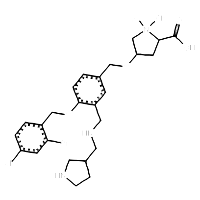 C[N+]1(C)CC(OCc2ccc(OCc3ccc(Cl)cc3Br)c(CNCC3CCNC3)c2)CC1C(=O)O